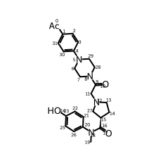 CC(=O)c1ccc(N2CCN(C(=O)CN3CC[C@@H](C(=O)N(C)c4ccc(O)cc4)C3)CC2)cc1